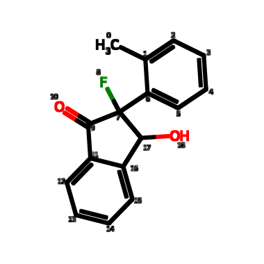 Cc1ccccc1C1(F)C(=O)c2ccccc2C1O